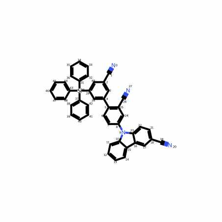 N#Cc1cc(-c2ccc(-n3c4ccccc4c4cc(C#N)ccc43)cc2C#N)cc([Si](c2ccccc2)(c2ccccc2)c2ccccc2)c1